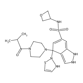 CC(C)C(=O)N1CCN(C2(N3NC=CS3)C=C(S(=O)(=O)NC3COC3)C=C3NNC=C32)CC1